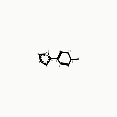 CC1C=CC(c2ccco2)=CC1